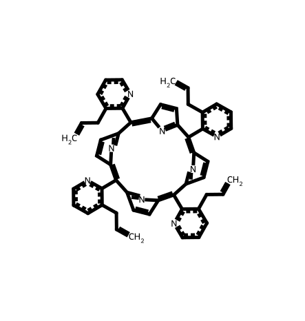 C=CCc1cccnc1C1=C2C=CC(=N2)C(c2ncccc2CC=C)=C2C=CC(=N2)C(c2ncccc2CC=C)=C2C=CC(=N2)C(c2ncccc2CC=C)=C2C=CC1=N2